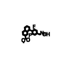 COC(=O)c1ccc2cccc(-c3c(F)cc(/C=N/O)cc3F)c2c1